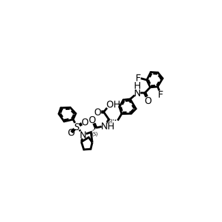 O=C(Nc1ccc(C[C@H](NC(=O)[C@@H]2C3CCC(C3)N2S(=O)(=O)c2ccccc2)C(=O)O)cc1)c1c(F)cccc1F